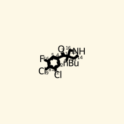 CCCCC1(C(=O)c2cc(F)c(Cl)c(Cl)c2)CCNC1